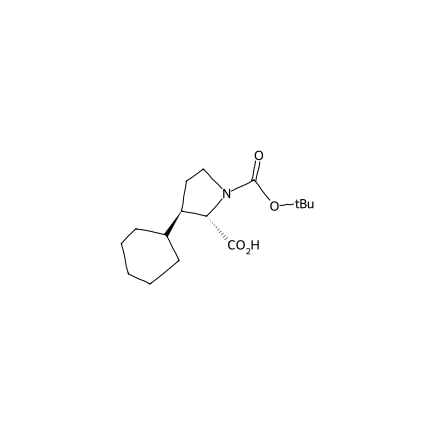 CC(C)(C)OC(=O)N1CC[C@H](C2CCCCC2)[C@H]1C(=O)O